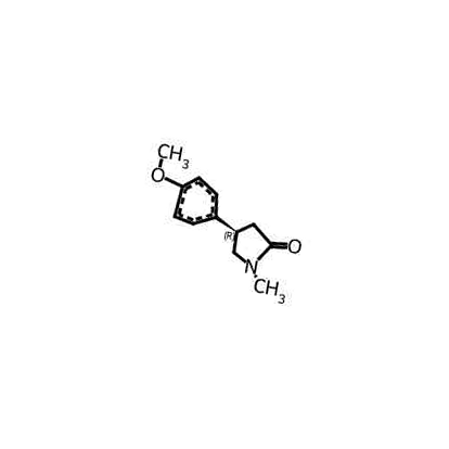 COc1ccc([C@H]2CC(=O)N(C)C2)cc1